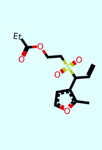 C=CC(c1ccoc1C)S(=O)(=O)CCOC(=O)CC